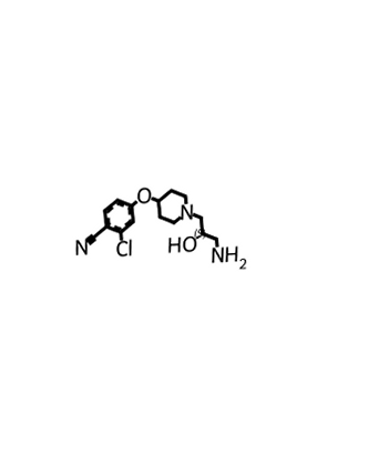 N#Cc1ccc(OC2CCN(C[C@@H](O)CN)CC2)cc1Cl